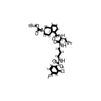 CC(C)C[C@H](NC(=O)c1cccc2c1CCN(C(=O)OC(C)(C)C)C2)C(=O)NCCCNS(=O)(=O)c1ccc(F)cc1Cl